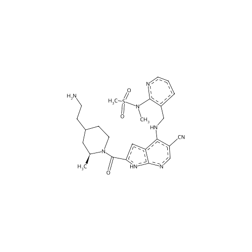 C[C@H]1CC(CCN)CCN1C(=O)c1cc2c(NCc3cccnc3N(C)S(C)(=O)=O)c(C#N)cnc2[nH]1